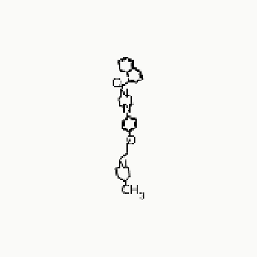 CC1CCN(CCCOc2ccc(N3CCN(C(=O)c4cccc5ccccc45)CC3)cc2)CC1